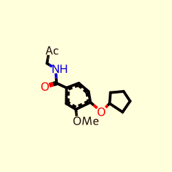 COc1cc(C(=O)NCC(C)=O)ccc1OC1CCCC1